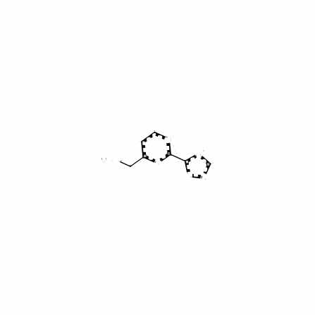 COCc1ccnc(-c2ncno2)n1